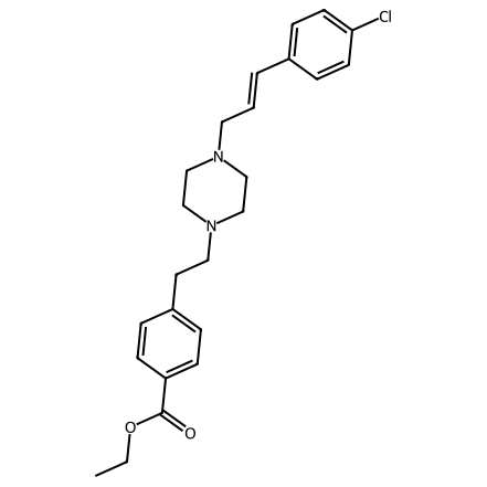 CCOC(=O)c1ccc(CCN2CCN(CC=Cc3ccc(Cl)cc3)CC2)cc1